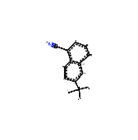 CC(C)(C)c1ccc2c(C#N)cccc2c1